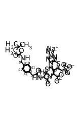 CC(C)(C)OC(=O)NCc1ccc(CC(=O)NC2C(=O)N3C(C(=O)[O-])=C(C(CS(=O)(=O)[O-])Sc4nnn[nH]4)CS[C@@H]23)cc1.[Na+].[Na+]